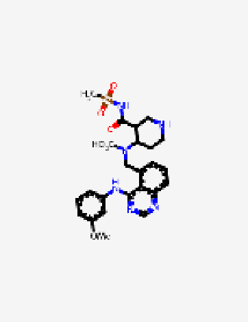 COc1cccc(Nc2ncnc3cccc(CN(C(=O)O)C4CCNCC4C(=O)NS(C)(=O)=O)c23)c1